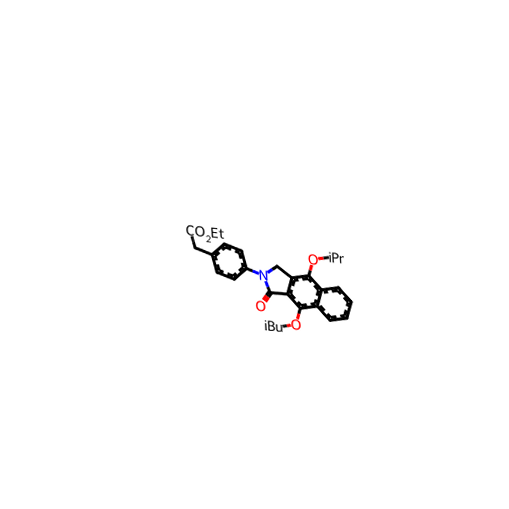 CCOC(=O)Cc1ccc(N2Cc3c(c(OC(C)CC)c4ccccc4c3OC(C)C)C2=O)cc1